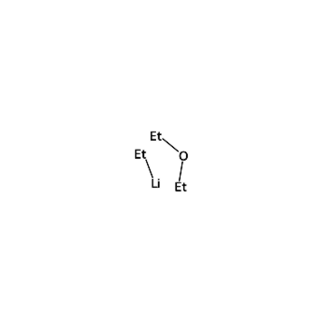 CCOCC.[Li][CH2]C